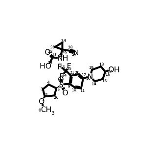 CO[C@H]1CC[C@H](S(=O)(=O)c2ccc(N3CCC(O)CC3)cc2C(F)(F)F)C1.N#CC1(NC(=O)O)CC1